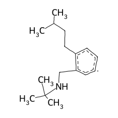 CC(C)CCc1cc[c]cc1CNC(C)(C)C